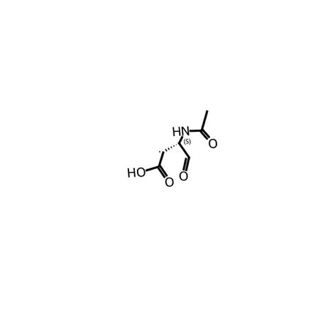 CC(=O)N[C@@H]([CH]C(=O)O)C=O